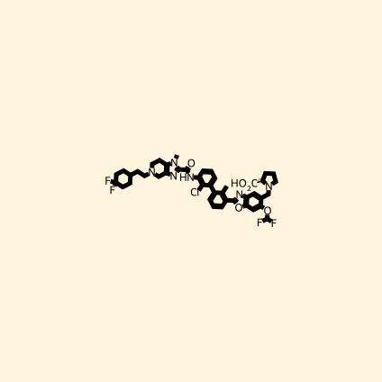 Cc1c(-c2nc3cc(CN4CCC[C@H]4C(=O)O)c(OC(F)F)cc3o2)cccc1-c1cccc(NC(=O)c2nc3c(n2C)CCN(CCC2CCC(F)(F)CC2)C3)c1Cl